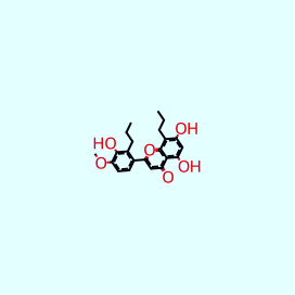 CCCc1c(-c2cc(=O)c3c(O)cc(O)c(CCC)c3o2)ccc(OC)c1O